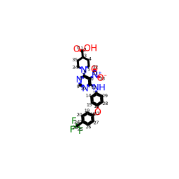 O=C(O)C1CCN(c2ncnc(Nc3ccc(Oc4ccc(C(F)(F)F)cc4)cc3)c2[N+](=O)[O-])CC1